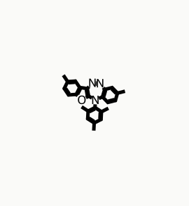 Cc1cc(C)c(N2c3ccc(C)cc3N=Nc3c2oc2ccc(C)cc32)c(C)c1